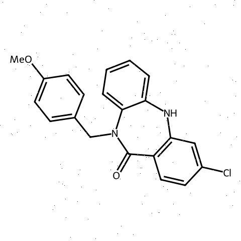 COc1ccc(CN2C(=O)c3ccc(Cl)cc3Nc3ccccc32)cc1